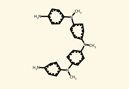 CN(c1ccc(N)cc1)c1ccc(N(C)c2ccc(N(C)c3ccc(N)cc3)cc2)cc1